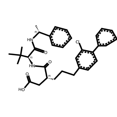 C[C@@H](NC(=O)[C@@H](NC(=O)[C@H](CCCc1ccc(-c2ccccc2)c(Cl)c1)CC(=O)O)C(C)(C)C)c1ccccc1